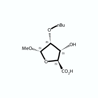 CCCCO[C@H]1[C@@H](OC)O[C@H](C(=O)O)[C@H]1O